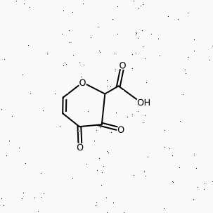 O=C1C=COC(C(=O)O)C1=O